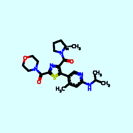 Cc1cc(NC(C)C)ncc1-c1sc(C(=O)N2CCOCC2)nc1C(=O)N1CCC[C@@H]1C